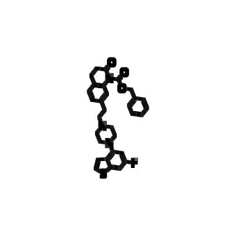 O=C1CCc2ccc(CCN3CCN(c4cc(F)cc5sccc45)CC3)cc2N1C(=O)OCc1ccccc1